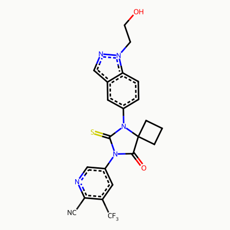 N#Cc1ncc(N2C(=O)C3(CCC3)N(c3ccc4c(cnn4CCO)c3)C2=S)cc1C(F)(F)F